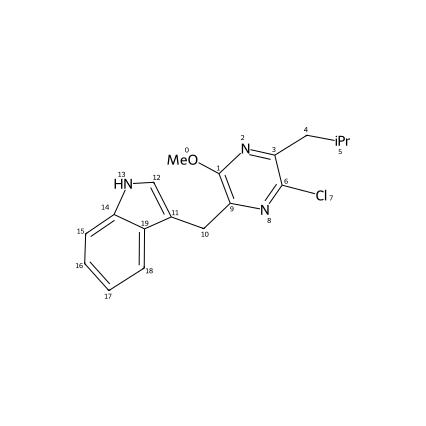 COc1nc(CC(C)C)c(Cl)nc1Cc1c[nH]c2ccccc12